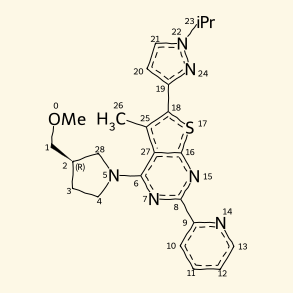 COC[C@@H]1CCN(c2nc(-c3ccccn3)nc3sc(-c4ccn(C(C)C)n4)c(C)c23)C1